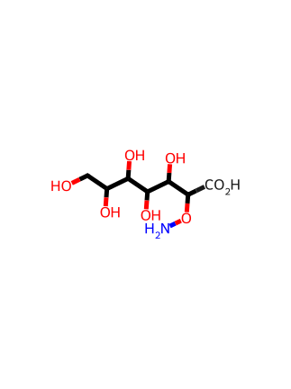 NOC(C(=O)O)C(O)C(O)C(O)C(O)CO